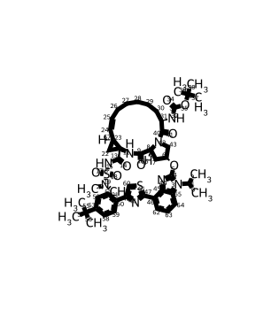 CC(C)n1c(O[C@@H]2C[C@H]3C(=O)N[C@]4(C(=O)NS(=O)(=O)N(C)C)C[C@H]4/C=C\CCCCC[C@H](NC(=O)OC(C)(C)C)C(=O)N3C2)nc2c(-c3nc(-c4ccc(C(C)(C)C)cc4)cs3)cccc21